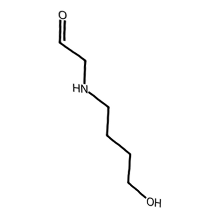 O=CCNCCCCO